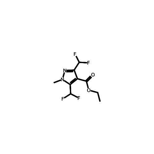 CCOC(=O)c1c(C(F)F)nn(C)c1C(F)F